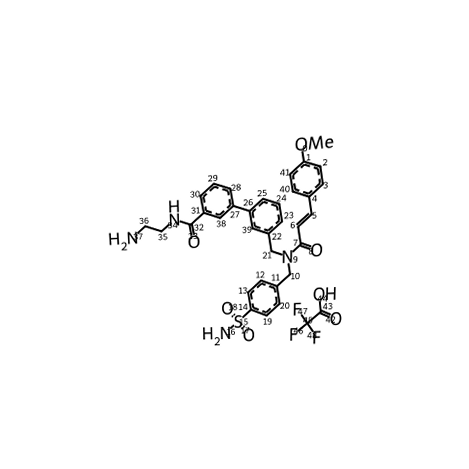 COc1ccc(C=CC(=O)N(Cc2ccc(S(N)(=O)=O)cc2)Cc2cccc(-c3cccc(C(=O)NCCN)c3)c2)cc1.O=C(O)C(F)(F)F